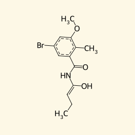 CC/C=C(\O)NC(=O)c1cc(Br)cc(OC)c1C